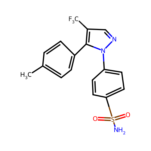 Cc1ccc(-c2c(C(F)(F)F)cnn2-c2ccc(S(N)(=O)=O)cc2)cc1